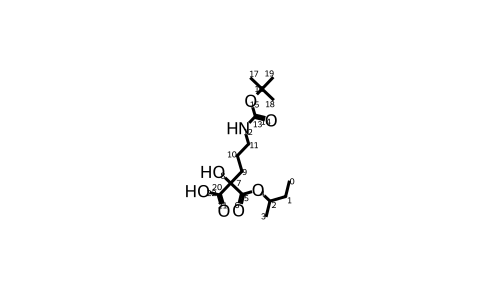 CCC(C)OC(=O)C(O)(CCCNC(=O)OC(C)(C)C)C(=O)O